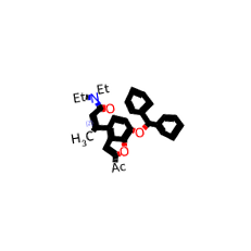 CCN(CC)C(=O)/C=C(/C)c1ccc(OC(c2ccccc2)c2ccccc2)c2oc(C(C)=O)cc12